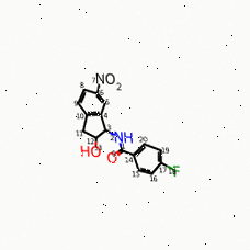 O=C(NC1c2cc([N+](=O)[O-])ccc2CC1O)c1ccc(F)cc1